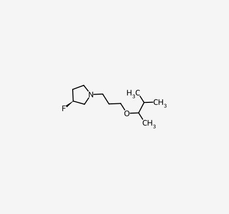 CC(C)C(C)OCCCN1CC[C@H](F)C1